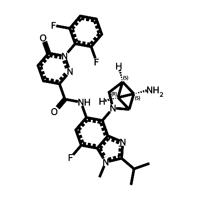 CC(C)c1nc2c(N3C[C@@H]4[C@@H]5C3[C@]45N)c(NC(=O)c3ccc(=O)n(-c4c(F)cccc4F)n3)cc(F)c2n1C